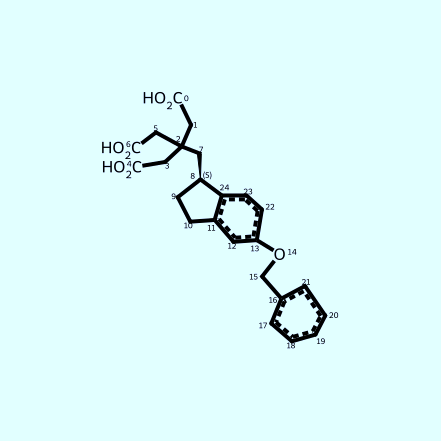 O=C(O)CC(CC(=O)O)(CC(=O)O)C[C@@H]1CCc2cc(OCc3ccccc3)ccc21